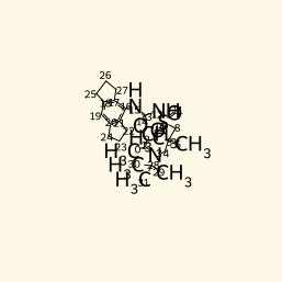 CC(C)N(CC(C)(C)CS(=O)(=O)NC(=O)Nc1c2c(cc3c1CCC3)CCC2)C(C)(C)C